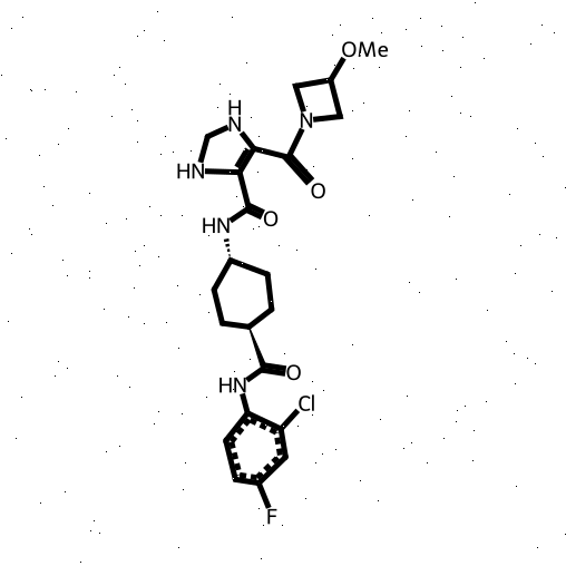 COC1CN(C(=O)C2=C(C(=O)N[C@H]3CC[C@H](C(=O)Nc4ccc(F)cc4Cl)CC3)NCN2)C1